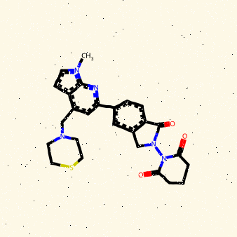 Cn1ccc2c(CN3CCSCC3)cc(-c3ccc4c(c3)CN(N3C(=O)CCCC3=O)C4=O)nc21